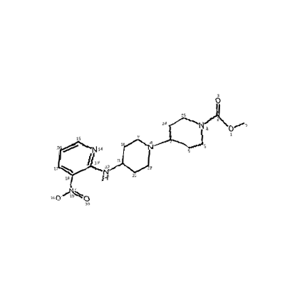 COC(=O)N1CCC(N2CCC(Nc3ncccc3[N+](=O)[O-])CC2)CC1